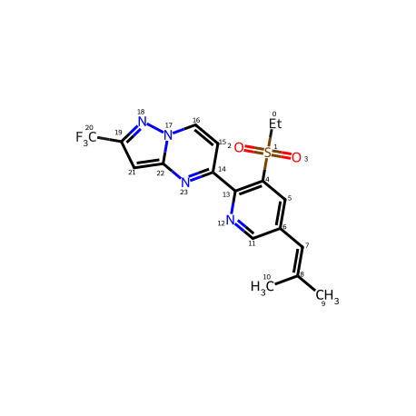 CCS(=O)(=O)c1cc(C=C(C)C)cnc1-c1ccn2nc(C(F)(F)F)cc2n1